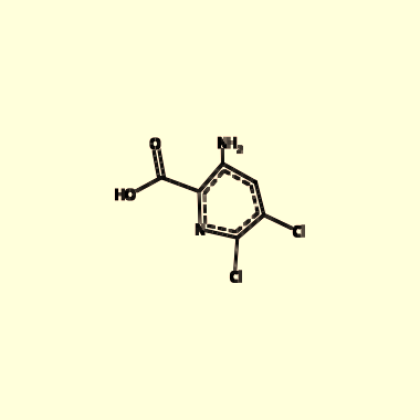 Nc1cc(Cl)c(Cl)nc1C(=O)O